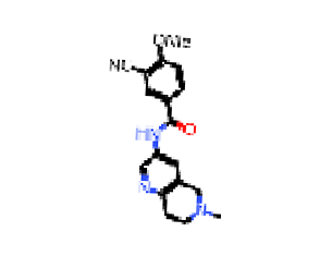 COc1ccc(C(=O)Nc2cnc3c(c2)CN(C)CC3)cc1C#N